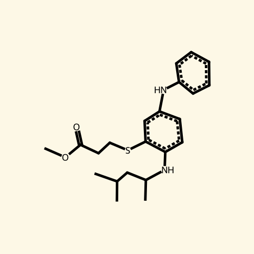 COC(=O)CCSc1cc(Nc2ccccc2)ccc1NC(C)CC(C)C